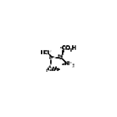 COC(O)[C@H](N)C(=O)O